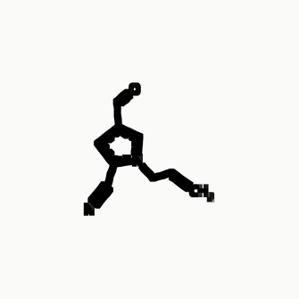 C=CCn1cc(C=O)cc1C#N